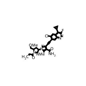 C=CC(=O)N1CC(n2nc(C#Cc3cc4nnc(F)c(C5CC5)c4cc3Cl)c(C(N)=O)c2NC)CC1COC